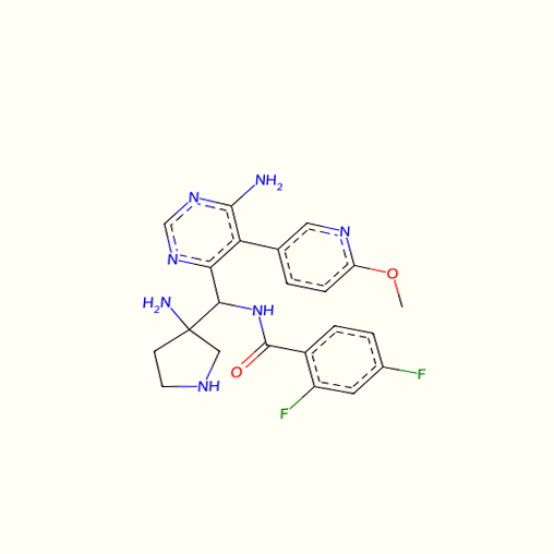 COc1ccc(-c2c(N)ncnc2C(NC(=O)c2ccc(F)cc2F)C2(N)CCNC2)cn1